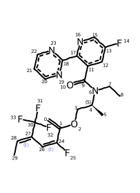 C=C(OC[C@H](C)N(CC)C(=O)c1cc(F)cnc1-c1ncccn1)/C(F)=C\C(=C/C)C(F)(F)F